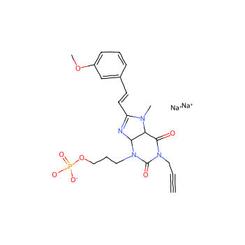 C#CCN1C(=O)C2C(N=C(C=Cc3cccc(OC)c3)N2C)N(CCCOP(=O)([O-])[O-])C1=O.[Na+].[Na+]